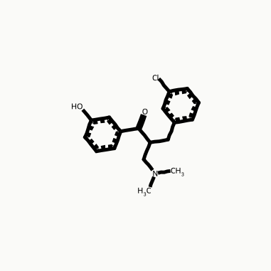 CN(C)CC(Cc1cccc(Cl)c1)C(=O)c1cccc(O)c1